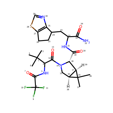 CC(C)(C)C(NC(=O)C(F)(F)F)C(=O)N1C[C@H]2[C@@H]([C@H]1C(=O)NC(CC1CCc3scnc31)C(N)=O)C2(C)C